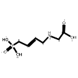 O=C(O)CNCC=CCP(=O)(O)O